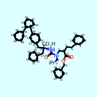 CC(C)CN(CC(CCc1ccccc1)C(=O)OCc1ccccc1)C(=O)N[C@@](Cc1ccccc1)(Cc1ccc(-c2ccccc2-c2ccccc2)cc1)C(=O)O